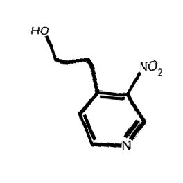 O=[N+]([O-])c1cnccc1CCO